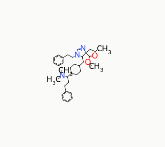 CCCC1(C(=O)OC)N=CN(CCc2ccccc2)C1CC1CCC(C(CCc2ccccc2)N(C)C)CC1